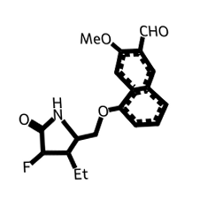 CCC1C(COc2cccc3cc(C=O)c(OC)cc23)NC(=O)C1F